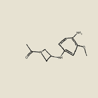 COc1cc(NC2CN(C(C)=O)C2)ccc1N